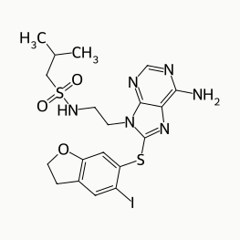 CC(C)CS(=O)(=O)NCCn1c(Sc2cc3c(cc2I)CCO3)nc2c(N)ncnc21